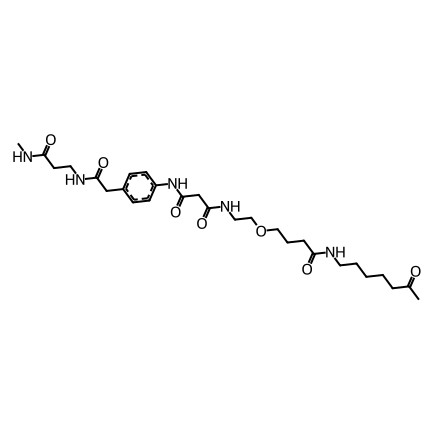 CNC(=O)CCNC(=O)Cc1ccc(NC(=O)CC(=O)NCCOCCCC(=O)NCCCCCC(C)=O)cc1